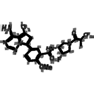 COc1ccc(-c2cc(C(F)(F)F)c3c(N)ncnn23)cc1C(=O)N[C@@H]1CN(C(=O)C(C)C(F)(F)F)C[C@@H]1F